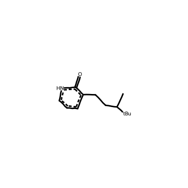 CC(CCc1ccc[nH]c1=O)C(C)(C)C